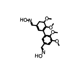 COC1=C(c2cc(/C=N/O)cc(OC)c2OC)C=C(/C=N/O)CC1OC